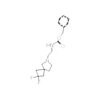 O=C(NCCN1CCC2(C1)CC(F)(F)C2)OCc1ccccc1